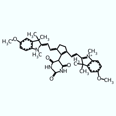 COc1ccc2c(c1)C(C)(C)C(=CC=C1CCC(C=CC3=[N+](C)c4ccc(OC)cc4C3(C)C)=C1C1C(=O)NC(=O)NC1=O)N2C